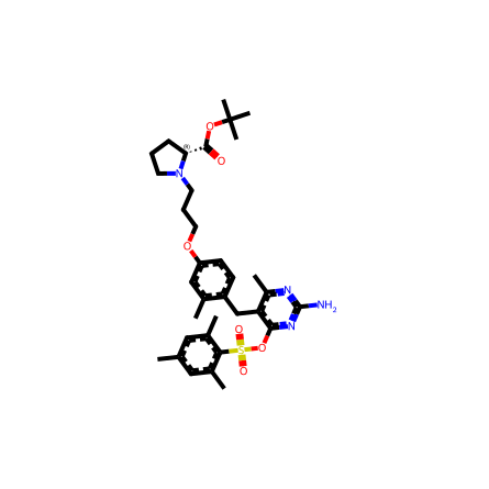 Cc1cc(C)c(S(=O)(=O)Oc2nc(N)nc(C)c2Cc2ccc(OCCCN3CCC[C@@H]3C(=O)OC(C)(C)C)cc2C)c(C)c1